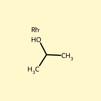 CC(C)O.[Rh]